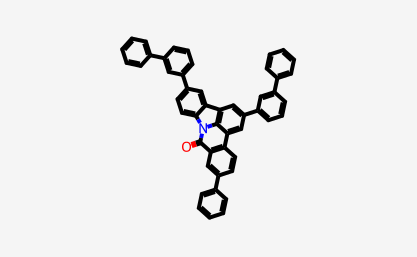 O=c1c2cc(-c3ccccc3)ccc2c2cc(-c3cccc(-c4ccccc4)c3)cc3c4cc(-c5cccc(-c6ccccc6)c5)ccc4n1c23